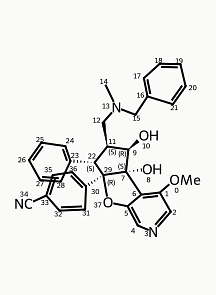 COc1cncc2c1[C@]1(O)[C@H](O)[C@H](CN(C)Cc3ccccc3)[C@@H](c3ccccc3)[C@]1(c1ccc(C#N)cc1)O2